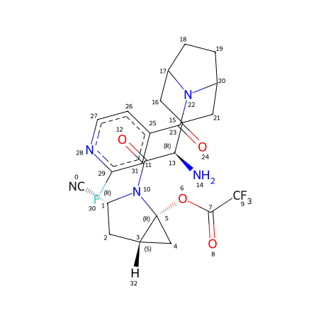 N#C[C@H]1C[C@H]2C[C@]2(OC(=O)C(F)(F)F)N1C(=O)[C@H](N)C1CC2CCC(C1)N2C(=O)c1ccnc(F)c1